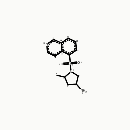 CC1CC(N)CN1S(=O)(=O)c1cccc2cnccc12